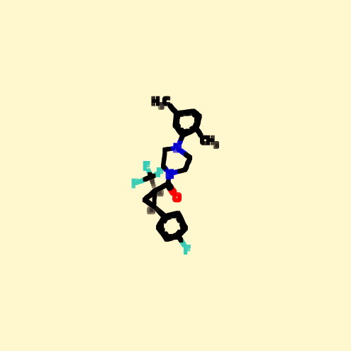 Cc1ccc(C)c(N2CCN(C(=O)[C@]3(C(F)(F)F)C[C@@H]3c3ccc(F)cc3)CC2)c1